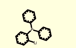 [Li][c]1ccccc1P(c1ccccc1)c1ccccc1